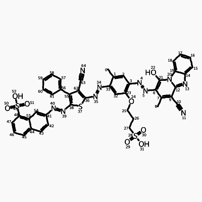 Cc1cc(N=Nc2c(C)c(C#N)c3nc4ccccc4n3c2O)c(OCCCS(=O)(=O)O)cc1N=Nc1sc(N=Nc2ccc3cccc(S(=O)(=O)O)c3c2)c(-c2ccccc2)c1C#N